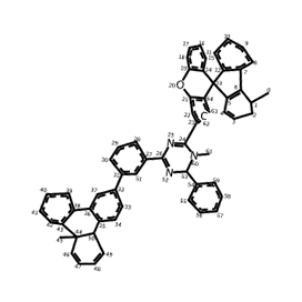 CC1CC=CC2=C1c1ccccc1C21c2ccccc2Oc2cc(C3=NC(c4cccc(-c5ccc6c(c5)-c5ccccc5C5(C)C=CC=CC65)c4)=NC(c4ccccc4)N3C)ccc21